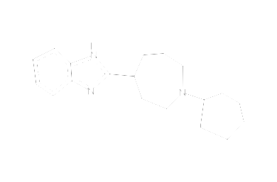 c1ccc2[nH]c(C3CCCN(C4CCCCC4)CC3)nc2c1